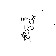 COc1cc(NC(=O)c2ccc(Br)c(CO)c2)ccc1S(N)(=O)=O